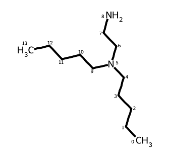 CCCCCN(CCN)CCCCC